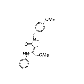 COC/C(Nc1ccccc1)=C1\CCN(Cc2ccc(OC)cc2)C1=O